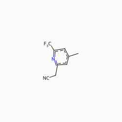 Cc1cc(CC#N)nc(C(F)(F)F)c1